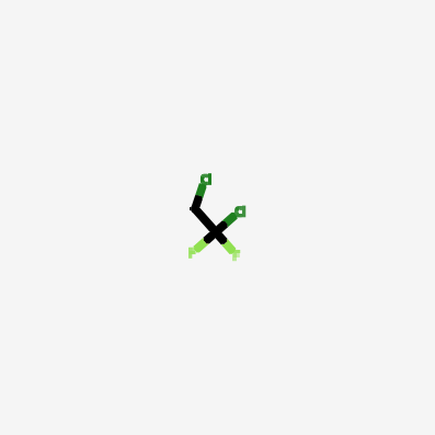 FC(F)(Cl)[CH]Cl